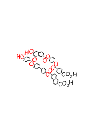 O=C(O)c1ccc(C(=O)Oc2ccc(OC(=O)c3ccc4cc(O)ccc4c3)cc2)cc1.O=C(O)c1ccc2cc(C(=O)Oc3ccc(-c4ccc(OC(=O)c5ccc(O)cc5)cc4)cc3)ccc2c1